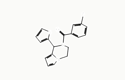 O=C(c1cccc(F)c1)N1CCn2cccc2C1c1cccs1